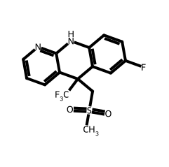 CS(=O)(=O)CC1(C(F)(F)F)c2cc(F)ccc2Nc2ncccc21